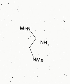 CNCCNC.N